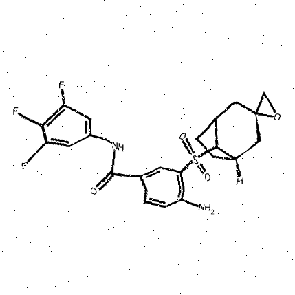 Nc1ccc(C(=O)Nc2cc(F)c(F)c(F)c2)cc1S(=O)(=O)C1C2CC[C@H]1C[C@]1(CO1)C2